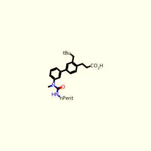 CCCCCNC(=O)N(C)c1cccc(-c2ccc(CCC(=O)O)c(CC(C)(C)C)c2)c1